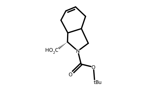 CC(C)(C)OC(=O)N1CC2CC=CCC2[C@H]1C(=O)O